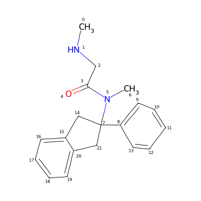 CNCC(=O)N(C)C1(c2ccccc2)Cc2ccccc2C1